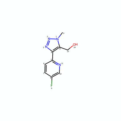 Cn1nnc(-c2ccc(F)cn2)c1CO